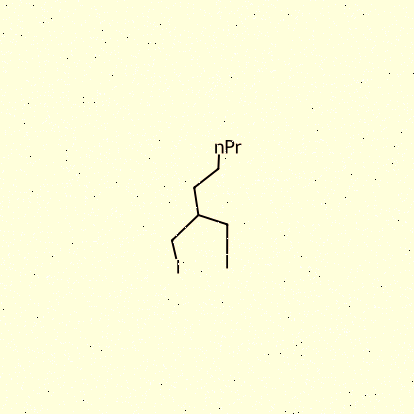 CCCCCC(CI)CI